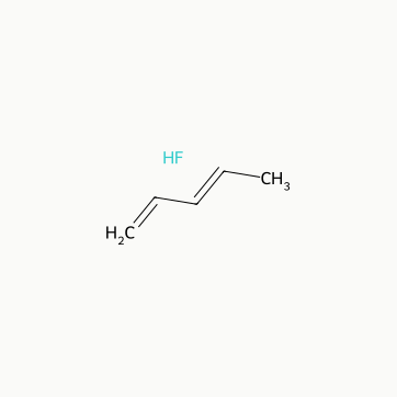 C=CC=CC.F